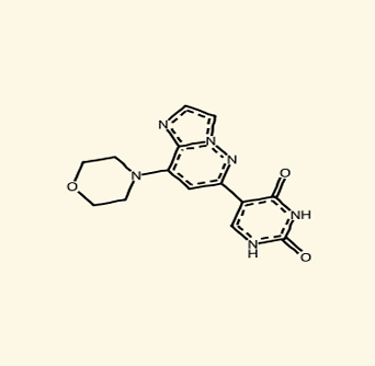 O=c1[nH]cc(-c2cc(N3CCOCC3)c3nccn3n2)c(=O)[nH]1